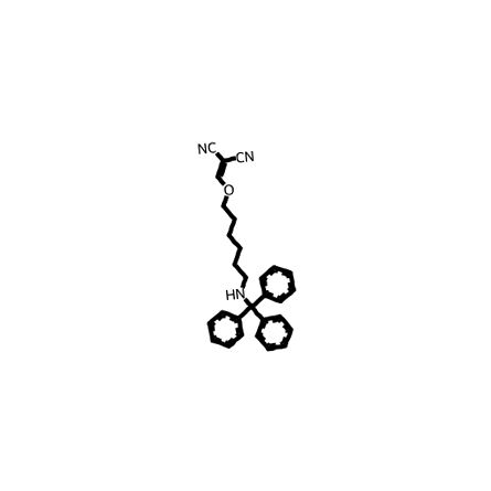 N#CC(C#N)=COCCCCCCNC(c1ccccc1)(c1ccccc1)c1ccccc1